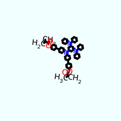 C=C(C)C(=O)Oc1ccc(-c2ccc(N(c3ccc(-c4ccc(OC(=O)C(=C)C)cc4)cc3)c3cc(N(c4ccccc4)c4ccccc4)cc(N(c4ccccc4)c4ccccc4)c3)cc2)cc1